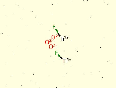 [F][Ti+3].[F][Ti+3].[O-2].[O-2].[O-2]